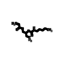 C=CC(=O)OCC(CC)OC(=O)NCCCCC